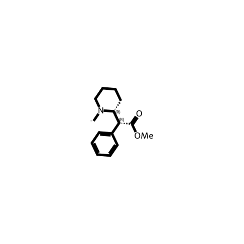 [CH2]N1CCCC[C@@H]1[C@H](C(=O)OC)c1ccccc1